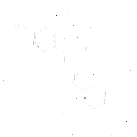 Br.Br.Br.Nc1ccc(NCCNc2ccc(O)cc2)cc1